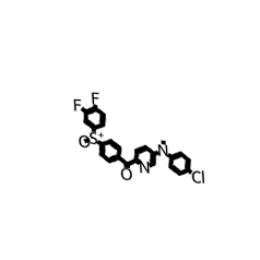 CN(c1ccc(Cl)cc1)c1ccc(C(=O)c2ccc([S+]([O-])c3ccc(F)c(F)c3)cc2)nc1